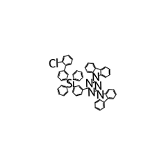 Clc1ccccc1-c1cccc([Si](c2ccccc2)(c2ccccc2)c2cccc(-c3nc(-n4c5ccccc5c5ccccc54)nc(-n4c5ccccc5c5ccccc54)n3)c2)c1